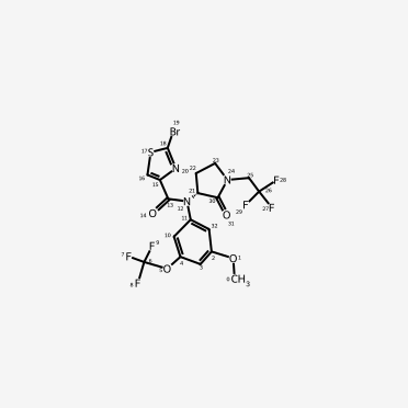 COc1cc(OC(F)(F)F)cc(N(C(=O)c2csc(Br)n2)[C@@H]2CCN(CC(F)(F)F)C2=O)c1